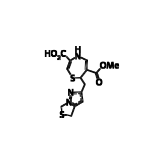 COC(=O)C1=CNC(C(=O)O)=CSC1Cc1cc2n(n1)CSC2